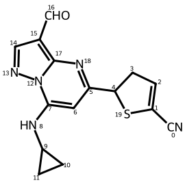 N#CC1=CCC(c2cc(NC3CC3)n3ncc(C=O)c3n2)S1